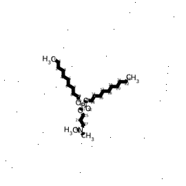 CCCCCCCCCCOP(=O)(OCCCCCCCCCC)OCCCN(C)C